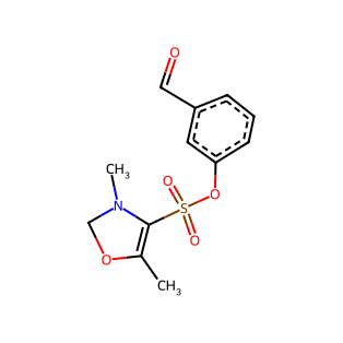 CC1=C(S(=O)(=O)Oc2cccc(C=O)c2)N(C)CO1